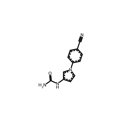 N#Cc1ccc(-n2ccc(NC(N)=O)c2)cc1